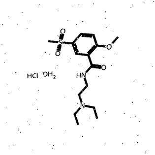 CCN(CC)CCNC(=O)c1cc(S(C)(=O)=O)ccc1OC.Cl.O